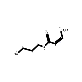 CCOC(=O)/C=C\C(=O)OCCCO